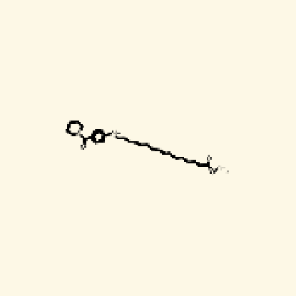 COC(=O)CCCCCCCCCCCCCCCNc1ccc(C(=O)N2CCCCC2)cc1